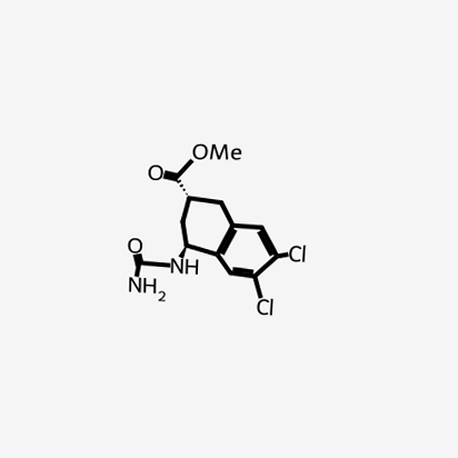 COC(=O)[C@@H]1Cc2cc(Cl)c(Cl)cc2[C@@H](NC(N)=O)C1